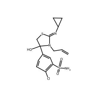 C=CCN1C(=NC2CC2)SCC1(O)c1ccc(Cl)c(S(N)(=O)=O)c1